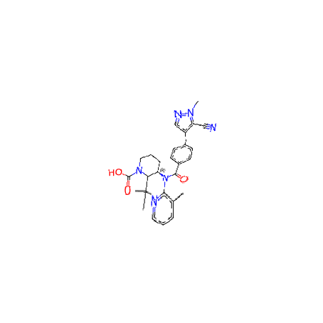 Cc1cccnc1N(C(=O)c1ccc(-c2cnn(C)c2C#N)cc1)[C@@H]1CCCN(C(=O)O)C1C(C)(C)C